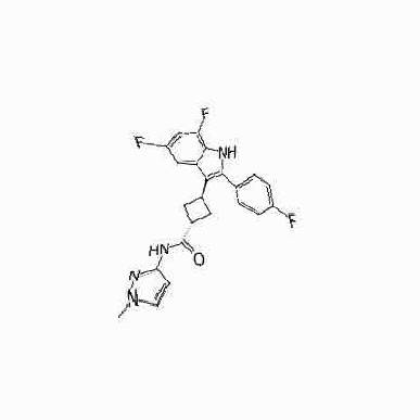 Cn1ccc(NC(=O)[C@H]2C[C@H](c3c(-c4ccc(F)cc4)[nH]c4c(F)cc(F)cc43)C2)n1